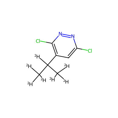 [2H]C([2H])([2H])C([2H])(c1cc(Cl)nnc1Cl)C([2H])([2H])[2H]